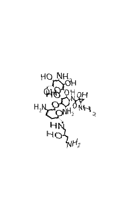 NCCC(O)CNC[C@@H]1CC[C@@H](N)[C@@H](OC2[C@@H](N)C[C@@H](NC(=O)C3(O)CC3N)[C@H](O[C@H]3O[C@H](CO)[C@@H](O)[C@H](N)[C@H]3O)[C@H]2O)O1